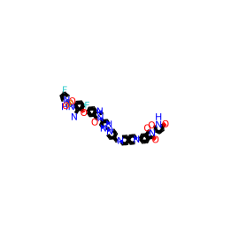 N#Cc1c(NS(=O)(=O)N2CC[C@@H](F)C2)ccc(F)c1Oc1ccc2ncn(-c3cnc(N4CCC(CN5CCC6(CC5)CCN(c5ccc7c(c5)C(=O)N(C5CCC(=O)NC5=O)C7=O)CC6)CC4)nc3)c(=O)c2c1